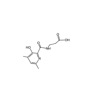 Cc1cc(C)c(O)c(C(=O)NCCC(=O)O)n1